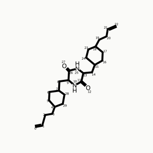 C=CCCC1CCC(CC2NC(=O)C(CC3CCC(CCC=C)CC3)NC2=O)CC1